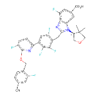 CC1(C)COC[C@H]1n1c(Cc2c(F)cc(-c3ccc(F)c(OCc4ccc(C#N)cc4F)n3)c(F)c2F)nc2c(F)cc(C(=O)O)cc21